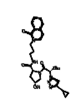 CC(C)(C)[C@@H](C(=O)N1C[C@H](O)C[C@H]1C(=O)NCCCn1ccc2ccccc2c1=O)n1cc(C2CC2)nn1